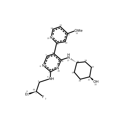 CC[C@H](F)CNc1ncc(-c2cc(OC)ccn2)c(N[C@H]2CC[C@H](O)CC2)n1